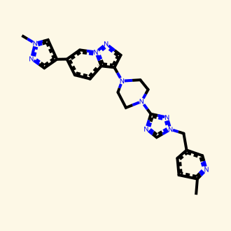 Cc1ccc(Cn2cnc(N3CCN(c4cnn5cc(-c6cnn(C)c6)ccc45)CC3)n2)cn1